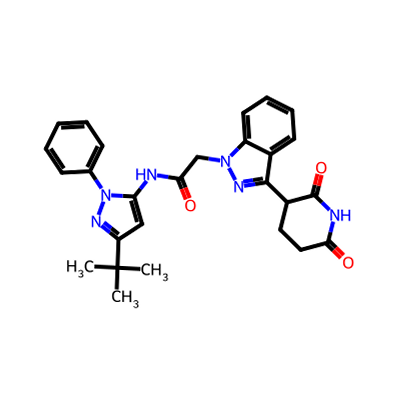 CC(C)(C)c1cc(NC(=O)Cn2nc(C3CCC(=O)NC3=O)c3ccccc32)n(-c2ccccc2)n1